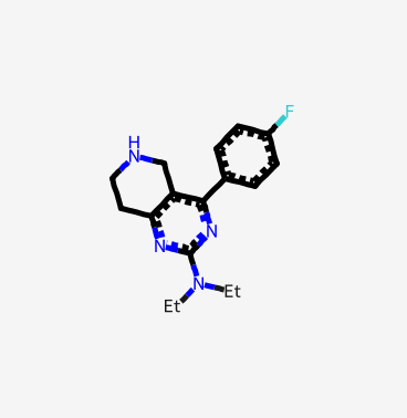 CCN(CC)c1nc2c(c(-c3ccc(F)cc3)n1)CNCC2